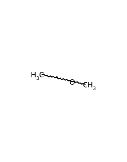 CCCCCCCCC=CCCCCCCCCOCCCCCCCC